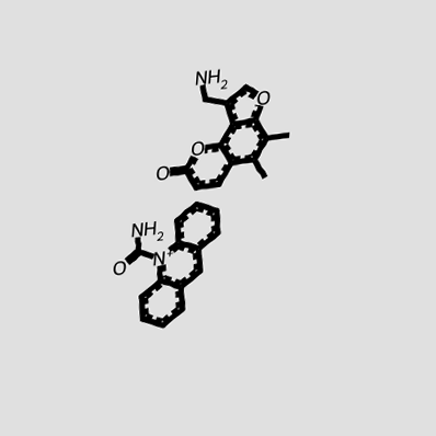 Cc1c(C)c2occ(CN)c2c2oc(=O)ccc12.NC(=O)[n+]1c2ccccc2cc2ccccc21